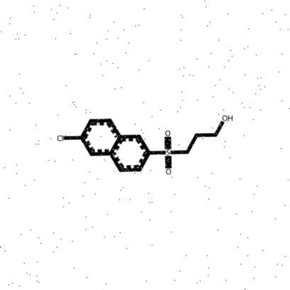 O=S(=O)(CCCO)c1ccc2cc(Cl)ccc2c1